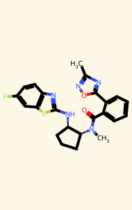 Cc1noc(-c2ccccc2C(=O)N(C)[C@H]2CCC[C@H]2Nc2nc3ccc(F)cc3s2)n1